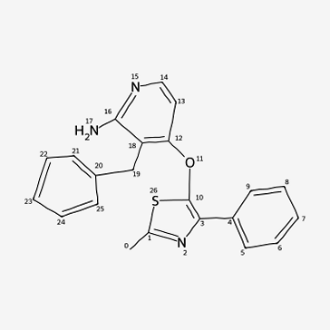 Cc1nc(-c2ccccc2)c(Oc2ccnc(N)c2Cc2ccccc2)s1